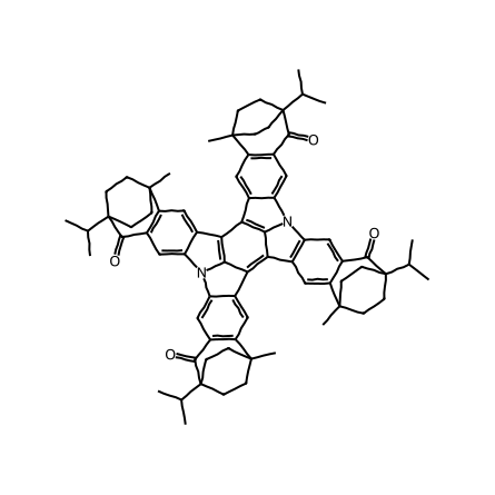 CC(C)C12CCC(C)(CC1)c1cc3c4c5c6cc7c(cc6n6c8cc9c(cc8c(c8c%10cc%11c(cc%10n(c3cc1C2=O)c48)C(=O)C1(C(C)C)CCC%11(C)CC1)c56)C1(C)CCC(C(C)C)(CC1)C9=O)C(=O)C1(C(C)C)CCC7(C)CC1